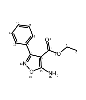 CCOC(=O)c1c(-c2ccccc2)noc1N